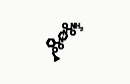 NC(=O)C(=O)N1CCN(C(=O)c2ccccc2OCC2CC2)CC1